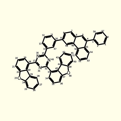 c1ccc(-c2cc3ccc(-c4cccc(-c5nc(-c6cccc7oc8ccccc8c67)nc(-c6cccc7oc8ccccc8c67)n5)c4)cc3c3ccccc23)cc1